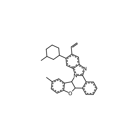 C=Cc1cc2nc3n(c2cc1C1CCCC(C)C1)C1c2cc(C)ccc2OC1c1ccccc1-3